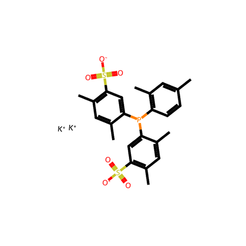 Cc1ccc(P(c2cc(S(=O)(=O)[O-])c(C)cc2C)c2cc(S(=O)(=O)[O-])c(C)cc2C)c(C)c1.[K+].[K+]